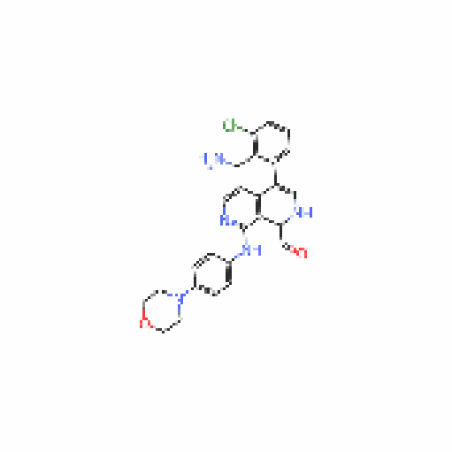 NCc1c(Cl)cccc1C1=CNC(C=O)c2c1ccnc2Nc1ccc(N2CCOCC2)cc1